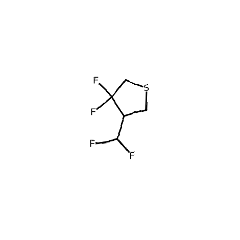 FC(F)C1CSCC1(F)F